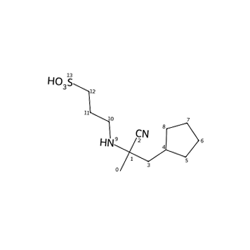 CC(C#N)(CC1CCCC1)NCCCS(=O)(=O)O